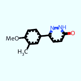 COc1ccc(-c2ccc(=O)[nH]n2)cc1C